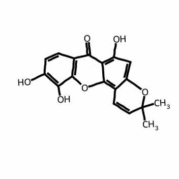 CC1(C)C=Cc2c(cc(O)c3c(=O)c4ccc(O)c(O)c4oc23)O1